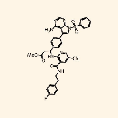 COC(=O)C[C@@H](Nc1ncc(C#N)cc1C(=O)NCCc1ccc(F)cc1)c1ccc(-c2cn(S(=O)(=O)c3ccccc3)c3ncnc(N)c23)cc1